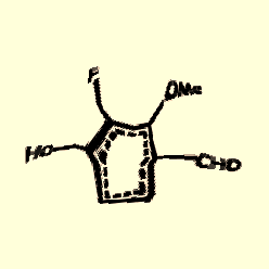 COc1c(C=O)ccc(O)c1F